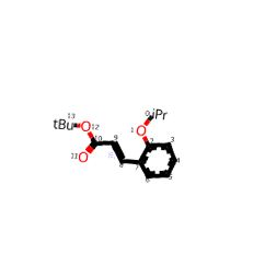 CC(C)Oc1ccccc1/C=C/C(=O)OC(C)(C)C